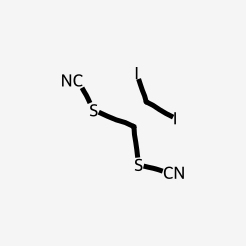 ICI.N#CSCSC#N